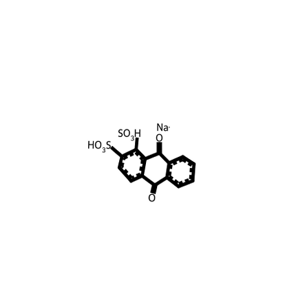 O=C1c2ccccc2C(=O)c2c1ccc(S(=O)(=O)O)c2S(=O)(=O)O.[Na]